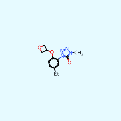 CCc1ccc(OC2COC2)c(-n2nnn(C)c2=O)c1